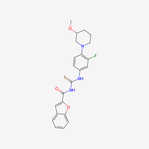 COC1CCCN(c2ccc(NC(=S)NC(=O)c3cc4ccccc4o3)cc2F)C1